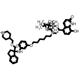 CC(C)(C)OC(=O)N(CCCCCCOc1cccc(NC2(C(=O)OCC3CCNCC3)CCc3ccccc32)c1)C[C@H](O[Si](C)(C)C(C)(C)C)c1ccc(O)c2[nH]c(=O)ccc12